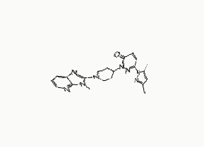 Cc1cc(C)n(-c2ccc(=O)n(C3CCN(c4nc5cccnc5n4C)CC3)n2)n1